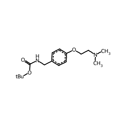 CN(C)CCOc1ccc(CNC(=O)OC(C)(C)C)cc1